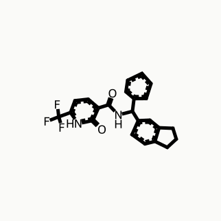 O=C(NC(c1ccccc1)c1ccc2c(c1)CCC2)c1ccc(C(F)(F)F)[nH]c1=O